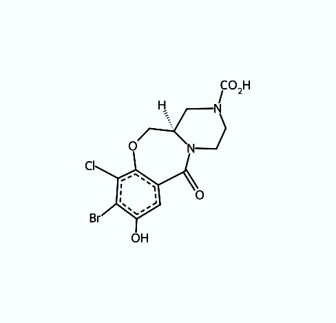 O=C(O)N1CCN2C(=O)c3cc(O)c(Br)c(Cl)c3OC[C@H]2C1